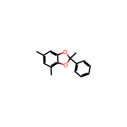 Cc1cc(C)c2c(c1)OC(C)(c1ccccc1)O2